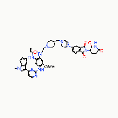 C=CC(=O)Nc1cc(Nc2nccc(-c3cn(C)c4ccccc34)n2)c(OC)cc1N(C)CCN1CCC(CN2CC3CC2CN3c2ccc3c(c2)C(=O)N(C2CCC(=O)NC2=O)C3=O)CC1